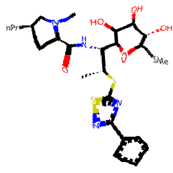 CCC[C@@H]1C[C@H](C(=O)N[C@H](C2OC(SC)[C@@H](O)C(O)C2O)[C@@H](C)Sc2nc(-c3ccccc3)ns2)N(C)C1